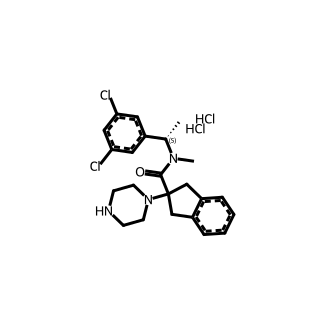 C[C@@H](c1cc(Cl)cc(Cl)c1)N(C)C(=O)C1(N2CCNCC2)Cc2ccccc2C1.Cl.Cl